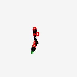 O=C(OCCC#CC1CCC(COc2ccc(F)cc2)O1)C1CCOCC1